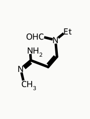 CCN(C=O)/C=C\C(N)=N/C